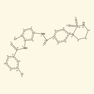 O=C(Nc1ccc(Cl)c(NC(=O)c2cccc(Cl)c2)c1)c1ccc(N2CCCNS2(=O)=O)cc1